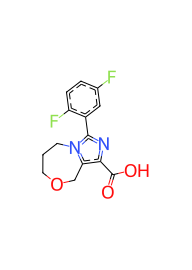 O=C(O)c1nc(-c2cc(F)ccc2F)n2c1COCCC2